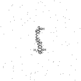 Cn1ccnc1C(S)c1ccc(OC(=O)N2CCN(CCCc3ccc(C(=O)O)cn3)CC2)cc1